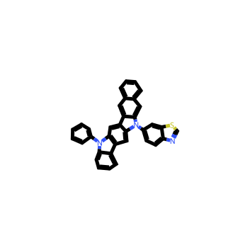 c1ccc(-n2c3ccccc3c3cc4c(cc32)c2cc3ccccc3cc2n4-c2ccc3ncsc3c2)cc1